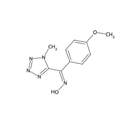 COc1ccc(C(=NO)c2nnnn2C)cc1